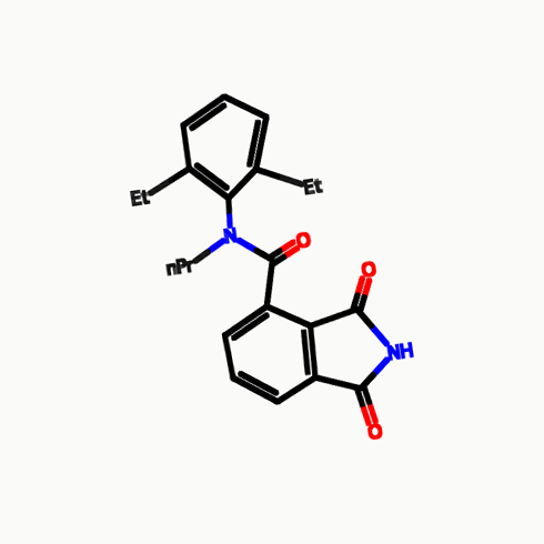 CCCN(C(=O)c1cccc2c1C(=O)NC2=O)c1c(CC)cccc1CC